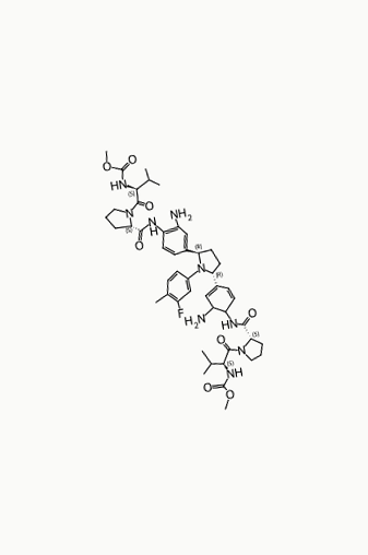 COC(=O)N[C@H](C(=O)N1CCC[C@H]1C(=O)Nc1ccc([C@H]2CC[C@H](C3=CC(N)C(NC(=O)[C@@H]4CCCN4C(=O)[C@@H](NC(=O)OC)C(C)C)C=C3)N2c2ccc(C)c(F)c2)cc1N)C(C)C